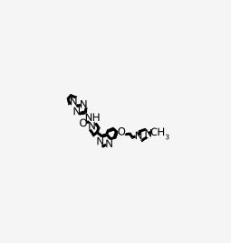 CN1CCN(CCCOc2ccc3c(C4CCN(C(=O)Nc5cnc(N6CCCC6)nc5)CC4)ncnc3c2)CC1